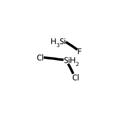 Cl[SiH2]Cl.F[SiH3]